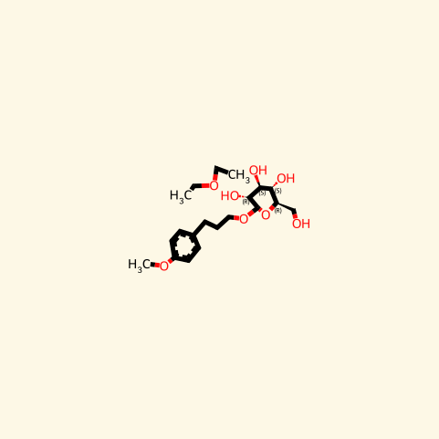 CCOCC.COc1ccc(CCCOC2O[C@H](CO)[C@@H](O)[C@H](O)[C@H]2O)cc1